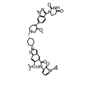 CO[C@H]1CN(C[C@H]2CC[C@H](n3cc4cc(C(=O)Nc5cccn(C6CC6)c5=O)c(OC(C)C)cc4n3)CC2)CC[C@H]1c1ccc2c(N3CCC(=O)NC3=O)nn(C)c2c1